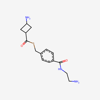 NCCNC(=O)c1ccc(CSC(=O)C2CC(N)C2)cc1